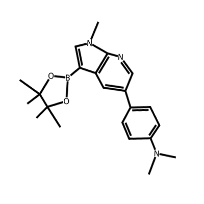 CN(C)c1ccc(-c2cnc3c(c2)c(B2OC(C)(C)C(C)(C)O2)cn3C)cc1